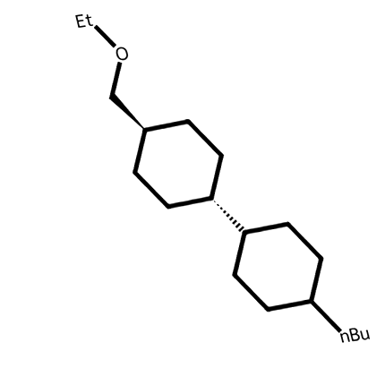 CCCCC1CCC([C@H]2CC[C@H](COCC)CC2)CC1